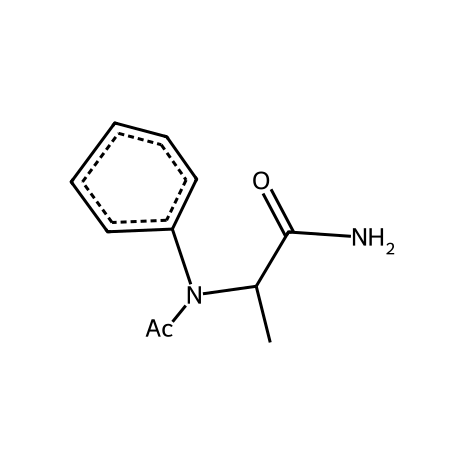 CC(=O)N(c1ccccc1)C(C)C(N)=O